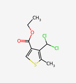 CCOC(=O)c1csc(C)c1C(Cl)Cl